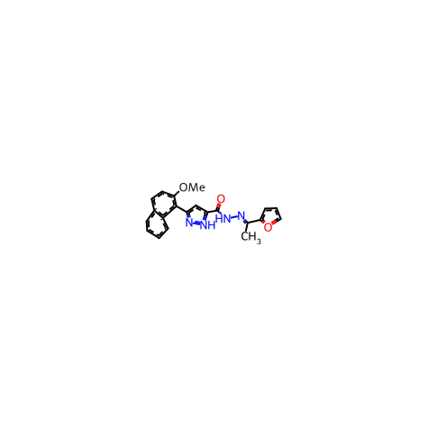 COc1ccc2ccccc2c1-c1cc(C(=O)N/N=C(\C)c2ccco2)[nH]n1